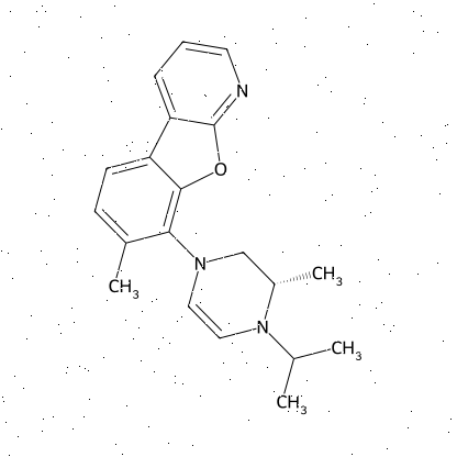 Cc1ccc2c(oc3ncccc32)c1N1C=CN(C(C)C)[C@@H](C)C1